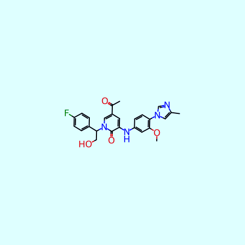 COc1cc(Nc2cc(C(C)=O)cn(C(CO)c3ccc(F)cc3)c2=O)ccc1-n1cnc(C)c1